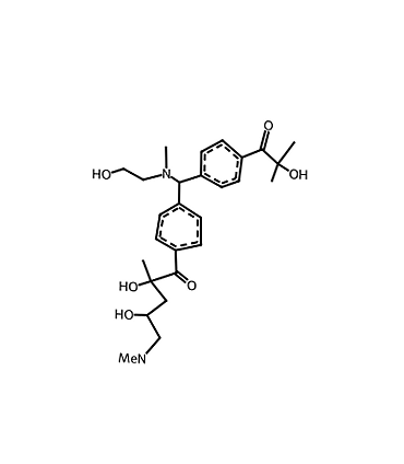 CNCC(O)CC(C)(O)C(=O)c1ccc(C(c2ccc(C(=O)C(C)(C)O)cc2)N(C)CCO)cc1